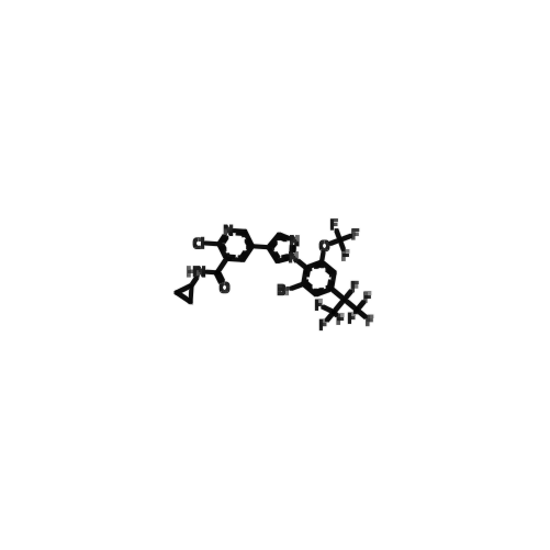 O=C(NC1CC1)c1cc(-c2cnn(-c3c(Br)cc(C(F)(C(F)(F)F)C(F)(F)F)cc3OC(F)(F)F)c2)cnc1Cl